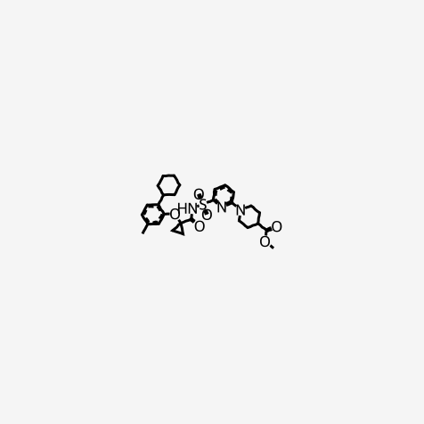 COC(=O)C1CCN(c2cccc(S(=O)(=O)NC(=O)C3(Oc4cc(C)ccc4C4CCCCC4)CC3)n2)CC1